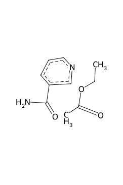 CCOC(C)=O.NC(=O)c1cccnc1